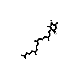 CC1=CC(=O)C(CCC(C)CCCC(C)CCCC(C)CCCC(C)C)=C(C)C1=O